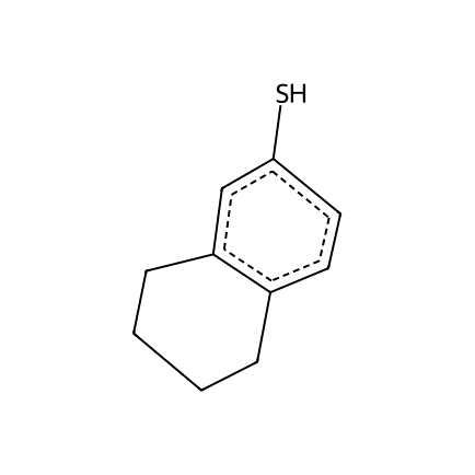 Sc1ccc2c(c1)CCCC2